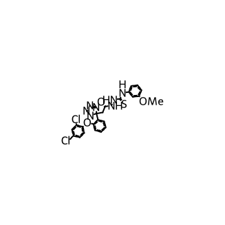 COc1cccc(NC(=S)NNC(=O)CC2(c3ccccc3Oc3ccc(Cl)cc3Cl)N=NN=N2)c1